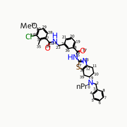 CCCN(Cc1ccccc1)[C@H]1CCc2nc(NC(=O)c3cccc(CNC(=O)c4ccc(OC)c(Cl)c4C)c3)sc2C1